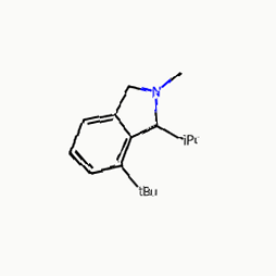 CC(C)C1c2c(cccc2C(C)(C)C)CN1C